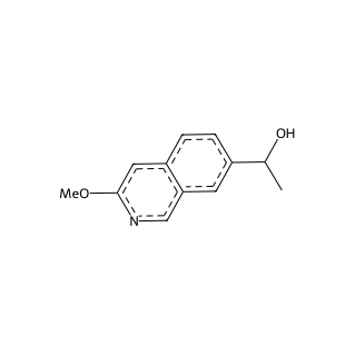 COc1cc2ccc(C(C)O)cc2cn1